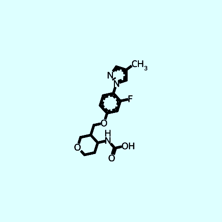 Cc1cnn(-c2ccc(OCC3COCCC3NC(=O)O)cc2F)c1